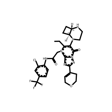 CCc1c(N2CCN[C@H]3CC[C@@H]32)c(=O)n2nc(C3=CCOCC3)nc2n1CC(=O)Nc1ccc(C(F)(F)F)cc1Cl